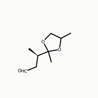 CC1COC(C)([C@H](C)CC=O)O1